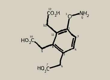 NOc1ccc(CC(=O)O)c(CC(=O)O)c1CC(=O)O